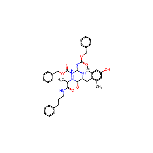 Cc1cc(O)cc(C)c1C[C@H](N/C(=N\C(=O)OCc1ccccc1)NC(=O)OCc1ccccc1)C(=O)N[C@H](C)C(=O)NCCCc1ccccc1